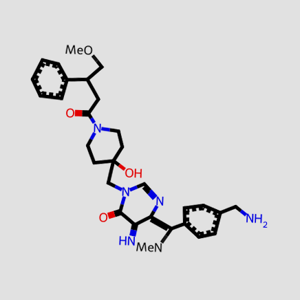 CN/C(=C1/N=CN(CC2(O)CCN(C(=O)CC(COC)c3ccccc3)CC2)C(=O)C1=N)c1ccc(CN)cc1